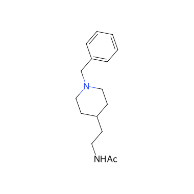 [CH2]C(=O)NCCC1CCN(Cc2ccccc2)CC1